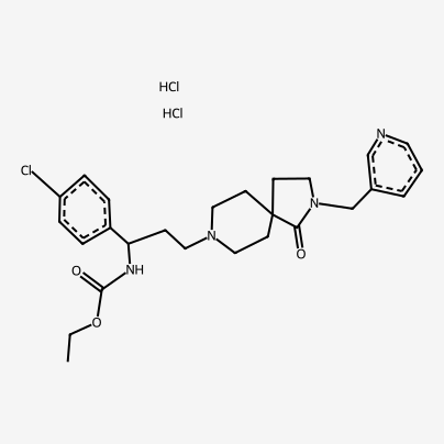 CCOC(=O)NC(CCN1CCC2(CC1)CCN(Cc1cccnc1)C2=O)c1ccc(Cl)cc1.Cl.Cl